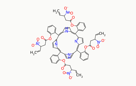 C=CC(CC(=O)Oc1ccccc1-c1c2nc(c(-c3ccccc3OC(=O)CC(C=C)[N+](=O)[O-])c3ccc([nH]3)c(-c3ccccc3OC(=O)CC(C=C)[N+](=O)[O-])c3nc(c(-c4ccccc4OC(=O)CC(C=C)[N+](=O)[O-])c4ccc1[nH]4)C=C3)C=C2)[N+](=O)[O-]